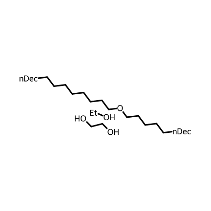 CCCCCCCCCCCCCCCCCCOCCCCCCCCCCCCCCC.CCO.OCCO